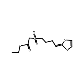 CCOC(=O)CS(=O)(=O)CCCC=C1SC=CS1